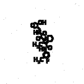 Cc1cc(NC(=O)c2c(C)c(C(=O)C(=O)NCC3COC[C@@H]3O)n3c2CCCC3)ccc1F